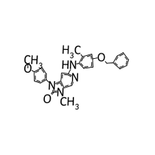 COc1ccc(-n2c(=O)n(C)c3cnc(Nc4ccc(OCc5ccccc5)cc4C)cc32)cc1